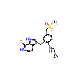 CS(=O)(=O)Cc1ccc(NCC2CC2)c(Cc2c[nH]c3c(=O)[nH]ccc23)c1